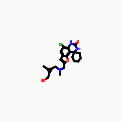 CC1C(CO)C1CN(C)Cc1cc2cc(Cl)c3c(c2o1)C1(CCCCC1)NC(=O)N3